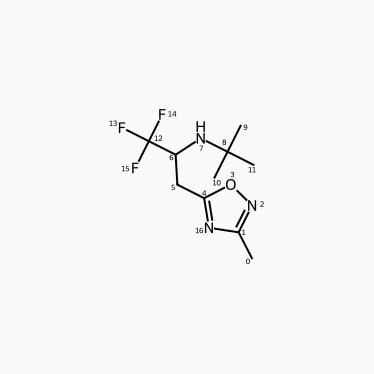 Cc1noc(CC(NC(C)(C)C)C(F)(F)F)n1